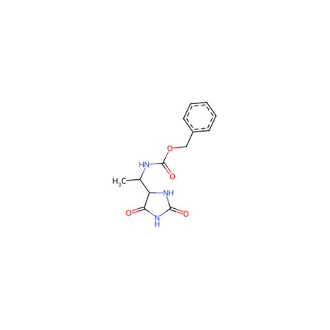 CC(NC(=O)OCc1ccccc1)C1NC(=O)NC1=O